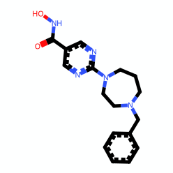 O=C(NO)c1cnc(N2CCCN(Cc3ccccc3)CC2)nc1